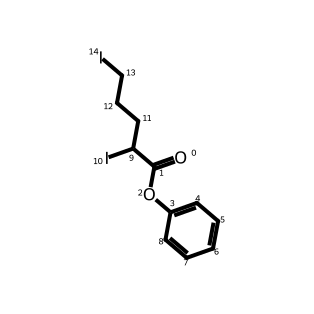 O=C(Oc1ccccc1)C(I)CCCI